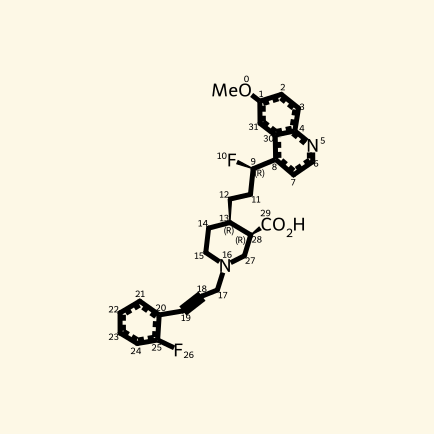 COc1ccc2nccc([C@H](F)CC[C@@H]3CCN(CC#Cc4ccccc4F)C[C@@H]3C(=O)O)c2c1